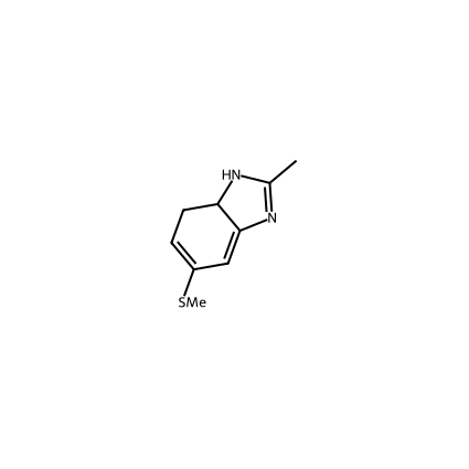 CSC1=CCC2NC(C)=NC2=C1